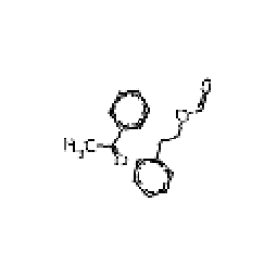 CC(=O)c1ccccc1.O=COCCc1ccccc1